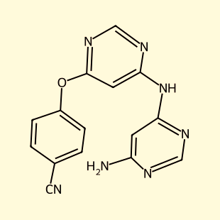 N#Cc1ccc(Oc2cc(Nc3cc(N)ncn3)ncn2)cc1